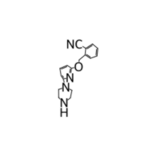 N#Cc1ccccc1COc1cccc(N2CCNCC2)n1